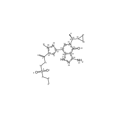 C=C(CCS(=O)(=O)CCC)c1cc(-c2cn([C@@H](C)C3CC3)c(=O)c3c(N)n[nH]c23)nn1C